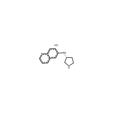 Cl.c1cnc2ccc(N[C@@H]3CCNC3)cc2c1